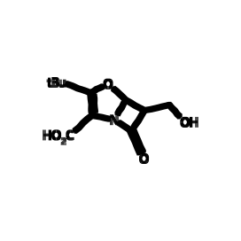 CC(C)(C)C1=C(C(=O)O)N2C(=O)C(CO)C2O1